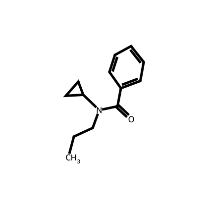 CCCN(C(=O)c1ccccc1)C1CC1